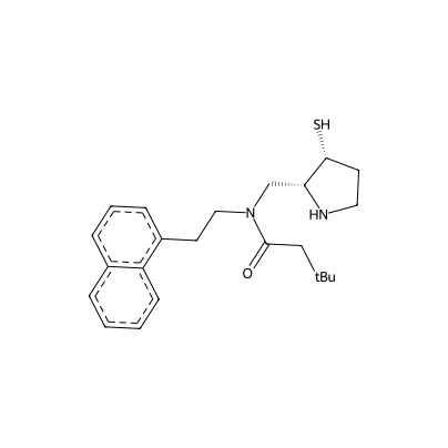 CC(C)(C)CC(=O)N(CCc1cccc2ccccc12)C[C@H]1NCC[C@H]1S